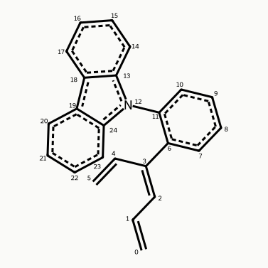 C=C/C=C(\C=C)c1ccccc1-n1c2ccccc2c2ccccc21